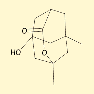 CC12CC3CC(O)(C1)CC(C)(C2)OC3=O